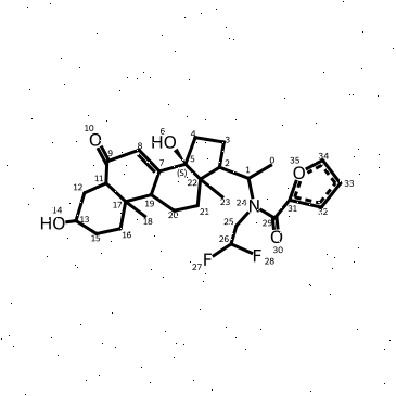 CC(C1CC[C@@]2(O)C3=CC(=O)C4CC(O)CCC4(C)C3CCC12C)N(CC(F)F)C(=O)c1ccco1